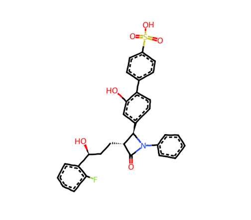 O=C1[C@H](CC[C@H](O)c2ccccc2F)[C@@H](c2ccc(-c3ccc(S(=O)(=O)O)cc3)c(O)c2)N1c1ccccc1